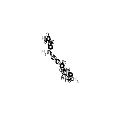 CCc1cc(Nc2ncc(Cl)c(Nc3ccccc3P(C)(C)=O)n2)c(OC)cc1N1CCC(N2CCN(CCN(C)c3ccc4c(c3)CN(C3CCC(=O)NC3=O)C4=O)CC2)CC1